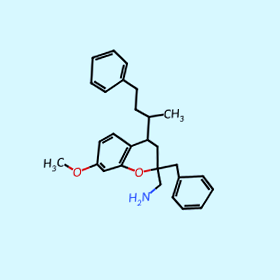 COc1ccc2c(c1)OC(CN)(Cc1ccccc1)CC2C(C)CCc1ccccc1